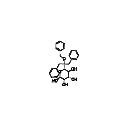 O[C@@H]1[C@H](O)[C@@H](O)O[C@H](C(Cc2ccccc2)(Cc2ccccc2)OCc2ccccc2)[C@H]1O